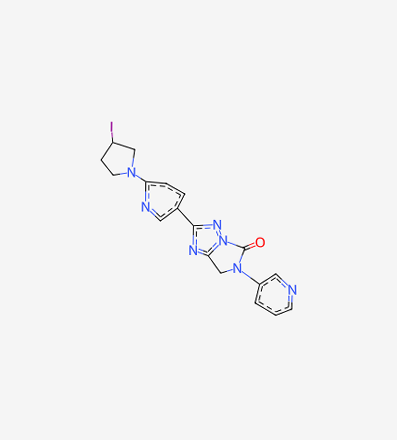 O=C1N(c2cccnc2)Cc2nc(-c3ccc(N4CCC(I)C4)nc3)nn21